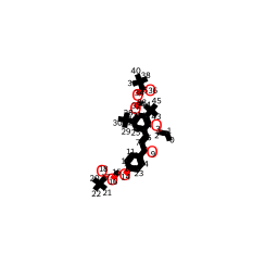 CCCOc1c(/C=C/C(=O)c2ccc(OCOC(=O)C(C)(C)C)cc2)cc(C(C)(C)C)c(OCOC(=O)C(C)(C)C)c1C(C)(C)C